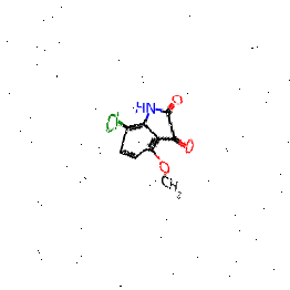 COc1ccc(Cl)c2c1C(=O)C(=O)N2